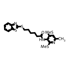 CSc1cc(C)nc(SC)c1NC(=O)CCCCCSc1nc2ccccc2s1